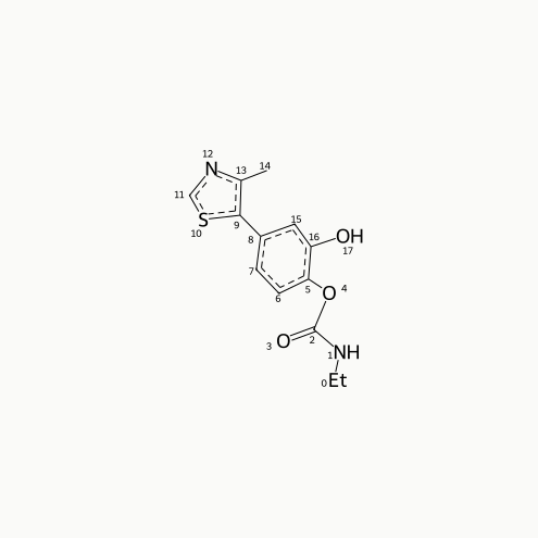 CCNC(=O)Oc1ccc(-c2scnc2C)cc1O